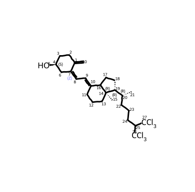 C=C1CC[C@H](O)C/C1=C/C=C1CCC[C@@]2(C)C1CC[C@@H]2[C@H](C)CCCC(C(Cl)(Cl)Cl)C(Cl)(Cl)Cl